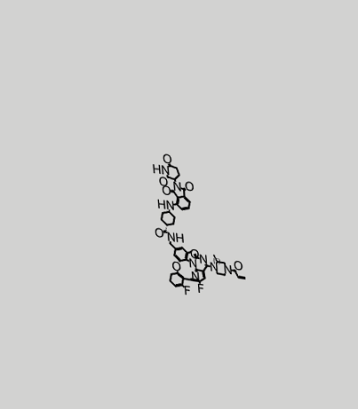 C=CC(=O)N1CCN(c2nc(=O)n3c4nc(c(F)cc24)c2c(oc4cc(CNC(=O)[C@H]5CC[C@H](Nc6cccc7c6C(=O)N(C6CCC(=O)NC6=O)C7=O)CC5)cc(C)c43)CCC=C2F)[C@@H](C)C1